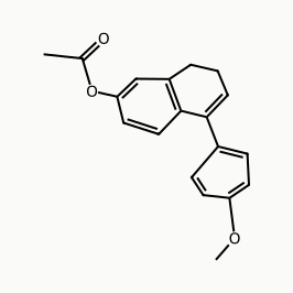 COc1ccc(C2=CCCc3cc(OC(C)=O)ccc32)cc1